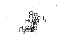 Cc1nc(N2CCC3(CCC[C@H]3NC(=O)OC(C)(C)C)CC2)c(CO)nc1-c1cccc(Cl)c1Cl